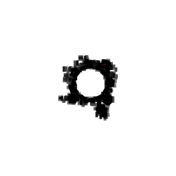 CC[C@H](C)[C@@H]1NC(=O)[C@H](CC(C)C)N(C)C(=O)C[C@@H](C(=O)N2CCCCC2)N(C)C(=O)[C@H]([C@@H](C)CC)N(C)C(=O)C2(CCCC2)NC(=O)[C@@H](Cc2ccccc2)N(C)C(=O)[C@H](CCc2cc(F)c(C(F)(F)F)c(F)c2)NC(=O)CN(C)C(=O)[C@H](Cc2ccc(C)cc2)N(C)C(=O)[C@@H]2CCN2C(=O)[C@H](C)N(C)C1=O